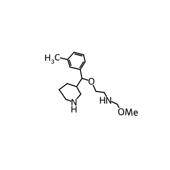 COCNCCOC(c1cccc(C)c1)C1CCCNC1